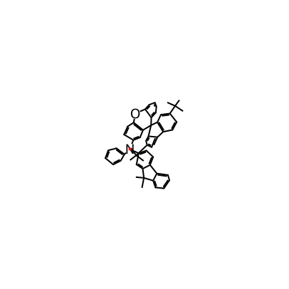 CC(C)(C)c1ccc2c(c1)C1(c3ccccc3Oc3ccc(N(c4ccccc4)c4ccc5c(c4)C(C)(C)c4ccccc4-5)cc31)c1cc(C(C)(C)C)ccc1-2